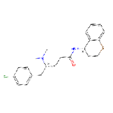 CN(C)[C@H](CCC(=O)N[C@H]1CCSc2ccccc21)Cc1ccc(F)cc1